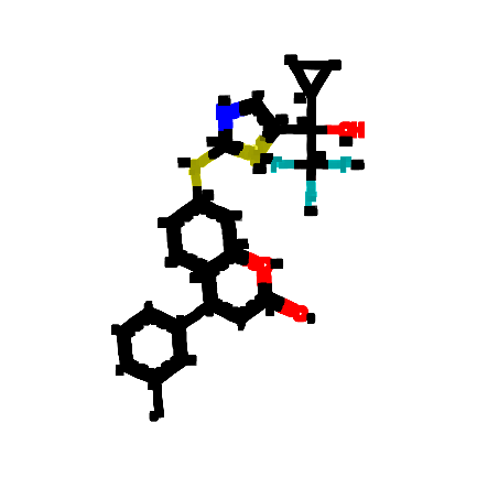 Cc1cccc(-c2cc(=O)oc3cc(Sc4ncc(C(O)(C5CC5)C(F)(F)F)s4)ccc23)c1